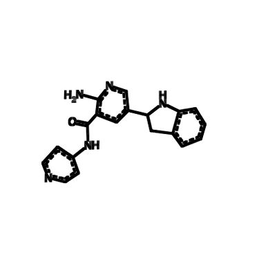 Nc1ncc(C2Cc3ccccc3N2)cc1C(=O)Nc1ccncc1